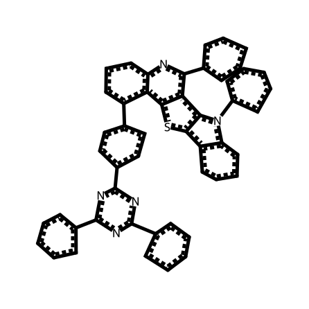 c1ccc(-c2nc(-c3ccccc3)nc(-c3ccc(-c4cccc5nc(-c6ccccc6)c6c(sc7c8ccccc8n(-c8ccccc8)c76)c45)cc3)n2)cc1